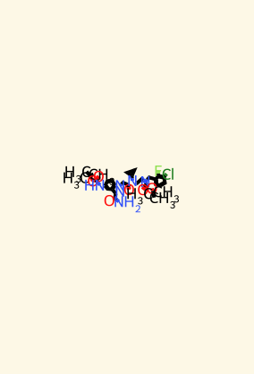 CC(C)(C)OC(=O)Nc1ccc2c(c1)c(C(N)=O)nn2CC(=O)N(CCN(Cc1cccc(Cl)c1F)C(=O)OC(C)(C)C)C1CC1